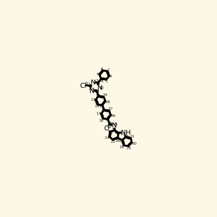 Clc1nc(-c2ccccc2)nc(-c2ccc(-c3ccc(-c4nc5c(ccc6c7ccccc7[nH]c65)o4)cc3)cc2)n1